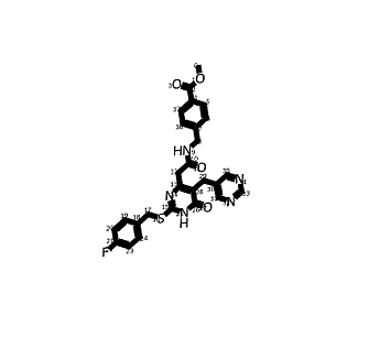 COC(=O)c1ccc(CNC(=O)Cc2nc(SCc3ccc(F)cc3)[nH]c(=O)c2Cc2cncnc2)cc1